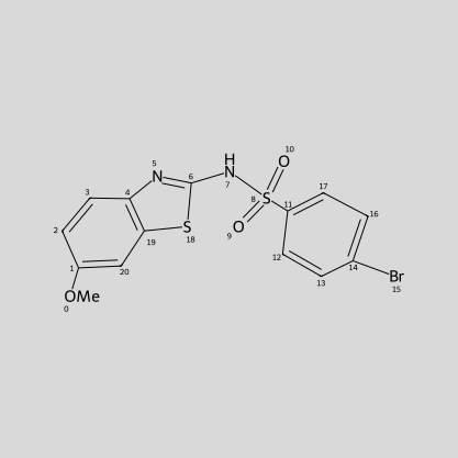 COc1ccc2nc(NS(=O)(=O)c3ccc(Br)cc3)sc2c1